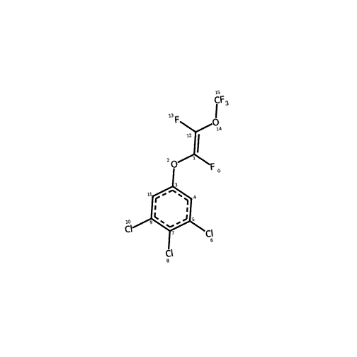 F/C(Oc1cc(Cl)c(Cl)c(Cl)c1)=C(/F)OC(F)(F)F